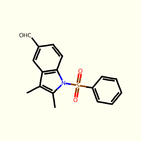 Cc1c(C)n(S(=O)(=O)c2ccccc2)c2ccc(C=O)cc12